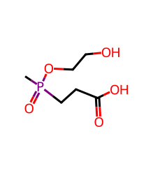 CP(=O)(CCC(=O)O)OCCO